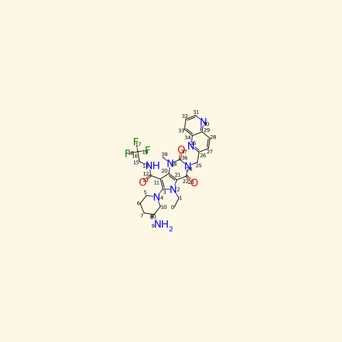 CCn1c(N2CCC[C@@H](N)C2)c(C(=O)NCC(F)(F)F)c2c1c(=O)n(Cc1ccc3ncccc3n1)c(=O)n2C